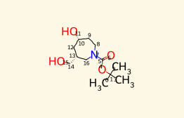 CC(C)(C)OC(=O)N1CC[C@@H](O)C[C@@H](CO)C1